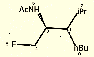 CCCCC(C(C)C)[C@@H](CF)NC(C)=O